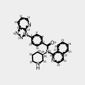 O=C(c1ccc(-n2nnc3cccnc32)cc1)N(c1nccc2ccccc12)[C@@H]1CCCNC1